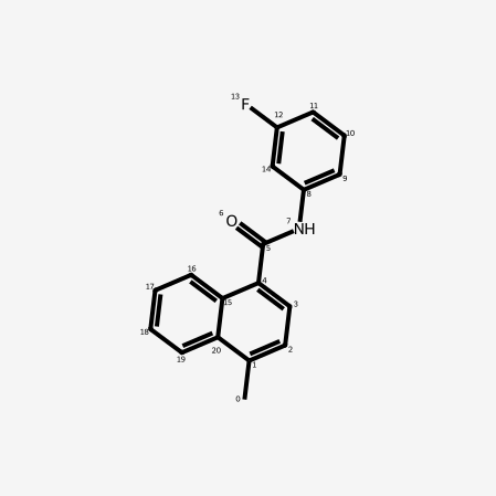 Cc1ccc(C(=O)Nc2cccc(F)c2)c2ccccc12